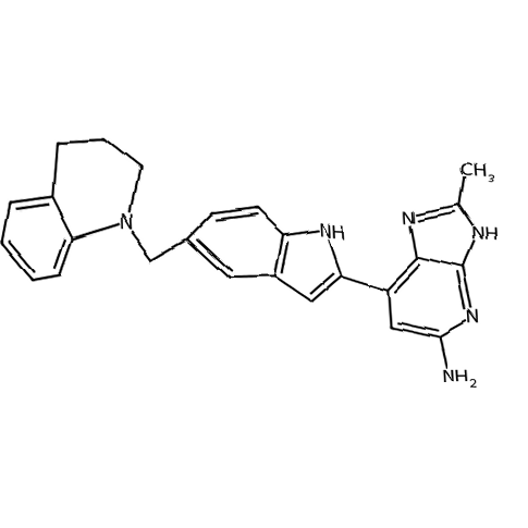 Cc1nc2c(-c3cc4cc(CN5CCCc6ccccc65)ccc4[nH]3)cc(N)nc2[nH]1